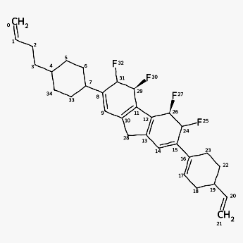 C=CCCC1CCC(C2=CC3=C(C4=C(C=C(C5=CCC(C=C)CC5)C(F)[C@@H]4F)C3)[C@H](F)C2F)CC1